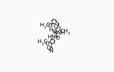 COc1cc(NC(=O)C(=O)NC(C)(C)Cc2cc3cccc(OC)c3o2)ccc1-c1cnco1